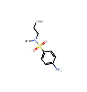 CCCCCCCCCCCCN(C(C)C)S(=O)(=O)c1ccc(N)cc1